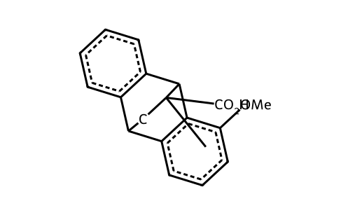 COc1cccc2c1C1c3ccccc3C2CC1(C)C(=O)O